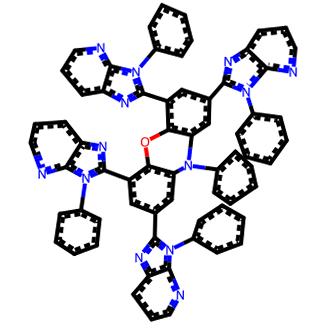 c1ccc(N2c3cc(-c4nc5cccnc5n4-c4ccccc4)cc(-c4nc5cccnc5n4-c4ccccc4)c3Oc3c(-c4nc5cccnc5n4-c4ccccc4)cc(-c4nc5cccnc5n4-c4ccccc4)cc32)cc1